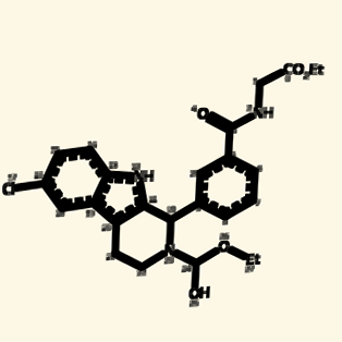 CCOC(=O)CNC(=O)c1cccc(C2c3[nH]c4ccc(Cl)cc4c3CCN2C(O)OCC)c1